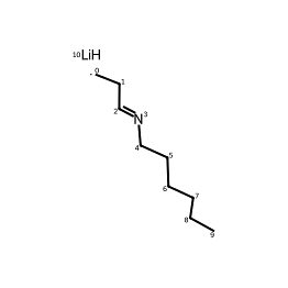 [CH2]CC=NCCCCCC.[LiH]